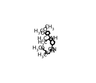 COCCN(C)Cc1nnc(-c2ccc3[nH]c(-c4ccc(OC)c(OC)c4)c(C(C)C)c3c2)o1